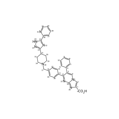 O=C(O)c1cn2cc(-c3ccccc3)c(-c3ccc(CN4CCC(c5n[nH]c(-c6ccccn6)n5)CC4)cc3)nc2n1